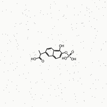 CC(C(=O)O)c1ccc2c(O)c(OP(=O)(O)O)ccc2c1